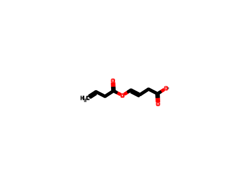 C=CCC(=O)OC=CCC([O])=O